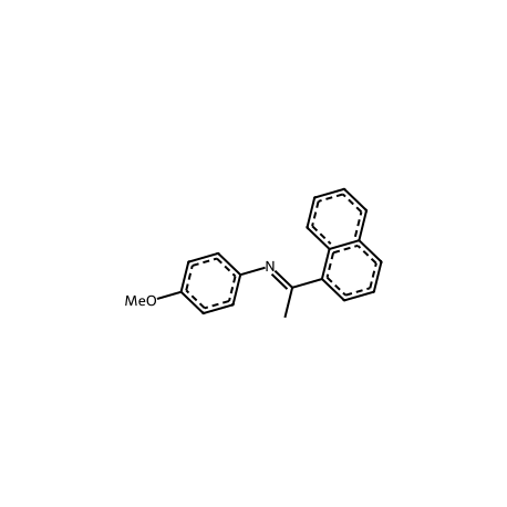 COc1ccc(N=C(C)c2cccc3ccccc23)cc1